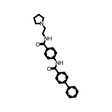 O=C(NCCN1CCCC1)c1ccc(NC(=O)c2ccc(-c3ccccc3)cc2)cc1